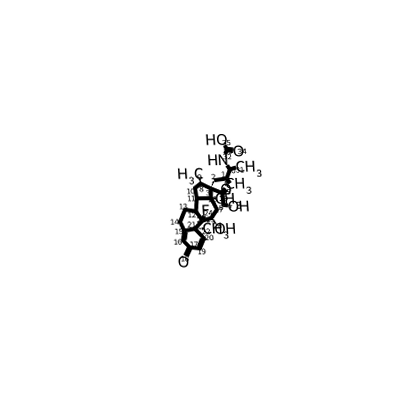 CC(C[C@@]1(C(=O)CO)[C@@H](C)CC2C3CCC4=CC(=O)C=C[C@]4(C)C3(F)[C@@H](O)C[C@@]21C)C(C)NC(=O)O